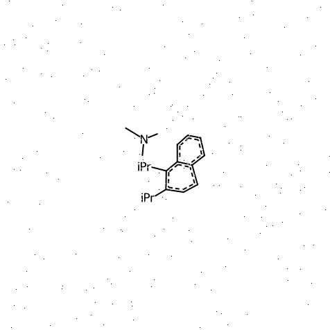 CC(C)c1ccc2ccccc2c1C(C)C.CN(C)C